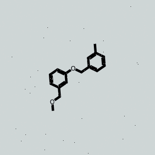 COCc1cccc(OCc2cccc(C)c2)c1